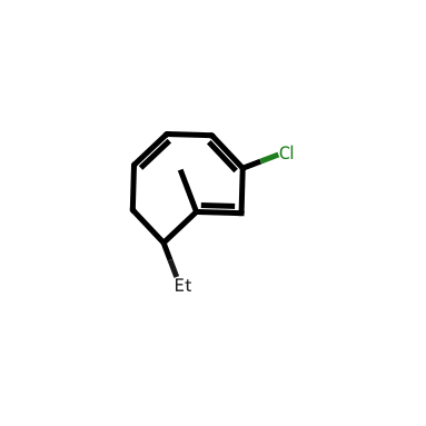 CCC1CC=C/C=C(Cl)\C=C\1C